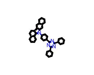 c1ccc(-c2nc(-c3ccccc3)nc(-c3ccc(-n4c5cc6ccccc6cc5c5ccc6ccccc6c54)cc3)n2)cc1